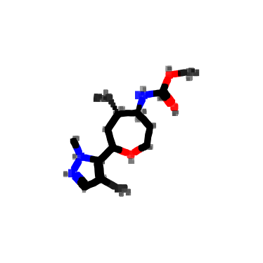 CO[C@H]1CC(c2c([N+](=O)[O-])cnn2C)OCC[C@@H]1NC(=O)OC(C)(C)C